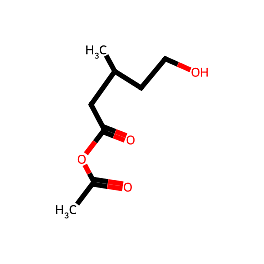 CC(=O)OC(=O)CC(C)CCO